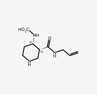 C=CCNC(=O)[C@@H]1CNCC[C@@H]1NC(=O)O